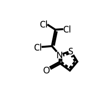 O=c1ccsn1C(Cl)=C(Cl)Cl